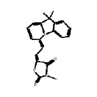 CCN1C(=O)/C(=C\C=C2/C=CC=C3N2c2ccccc2C3(C)C)SC1=S